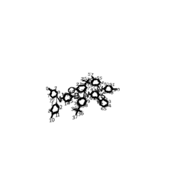 Cc1ccc(N(c2ccc(C)cc2)c2ccc3c(c2)Oc2cc(C(C)(C)C)cc4c2B3c2cc(C(C)(C)C)ccc2N4c2cc(N(c3ccc(C)cc3)c3ccc(C)cc3)c3sc4ccccc4c3c2)cc1